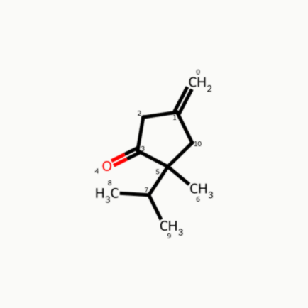 C=C1CC(=O)C(C)(C(C)C)C1